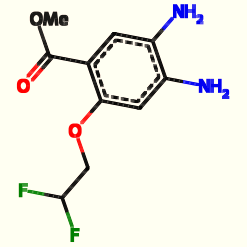 COC(=O)c1cc(N)c(N)cc1OCC(F)F